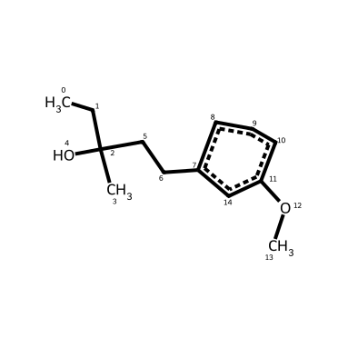 CCC(C)(O)CCc1cccc(OC)c1